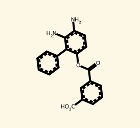 Nc1ccc(OC(=O)c2cccc(C(=O)O)c2)c(-c2ccccc2)c1N